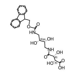 O=C(NC[C@@H](O)[C@H](O)CNC(=O)[C@H](O)[C@@H](O)C(=O)O)OCC1c2ccccc2-c2ccccc21